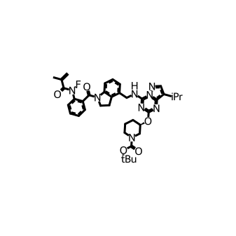 C=C(C)C(=O)N(F)c1ccccc1C(=O)N1CCc2c(CNc3nc(O[C@@H]4CCCN(C(=O)OC(C)(C)C)C4)nc4c(C(C)C)cnn34)cccc21